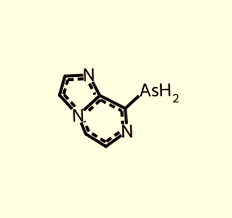 [AsH2]c1nccn2ccnc12